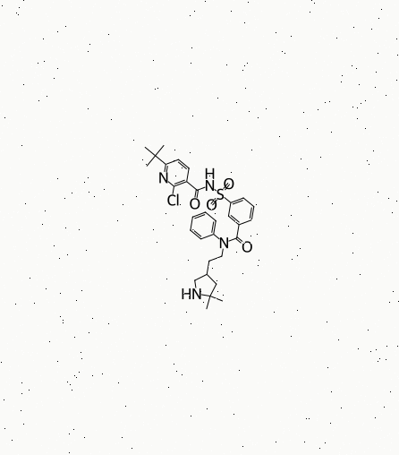 CC1(C)CC(CCN(C(=O)c2cccc(S(=O)(=O)NC(=O)c3ccc(C(C)(C)C)nc3Cl)c2)c2ccccc2)CN1